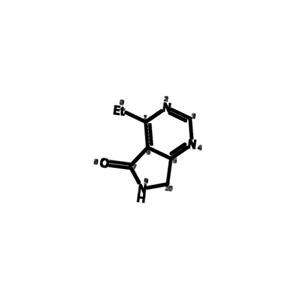 CCc1ncnc2c1C(=O)NC2